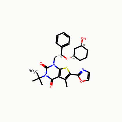 Cc1c(-c2ncco2)sc2c1c(=O)n(C(C)(C)C(=O)O)c(=O)n2C[C@@H](O[C@H]1CCC[C@H](O)C1)c1ccccc1